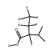 CC(C)C(F)(C(=O)OF)C(F)(F)C(F)(F)F